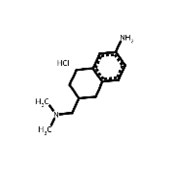 CN(C)CC1CCc2cc(N)ccc2C1.Cl